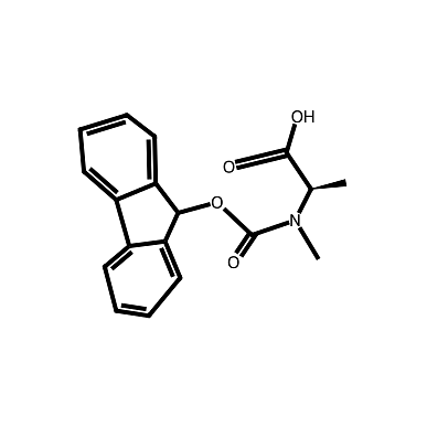 C[C@H](C(=O)O)N(C)C(=O)OC1c2ccccc2-c2ccccc21